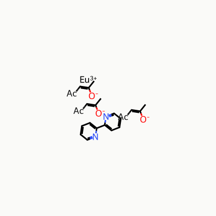 CC(=O)/C=C(/C)[O-].CC(=O)/C=C(/C)[O-].CC(=O)/C=C(/C)[O-].[Eu+3].c1ccc(-c2ccccn2)nc1